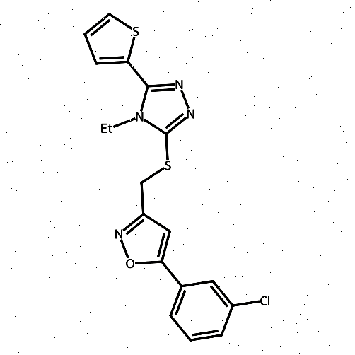 CCn1c(SCc2cc(-c3cccc(Cl)c3)on2)nnc1-c1cccs1